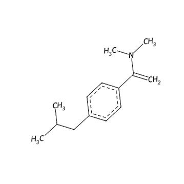 C=C(c1ccc(CC(C)C)cc1)N(C)C